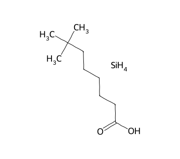 CC(C)(C)CCCCCC(=O)O.[SiH4]